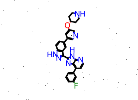 Fc1cccc(-c2ccnc3[nH]c(-c4n[nH]c5ccc(-c6cncc(OC7CCNCC7)c6)cc45)nc23)c1